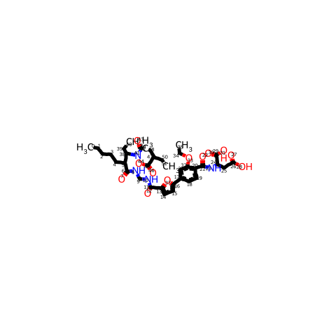 CCCCCC(C(=O)NCNC(=O)c1ccc(-c2ccc(C(=O)NC(CC(=O)O)C(=O)O)c(OCC)c2)o1)C(CC)N(C=O)OC(=O)C(CC)CC